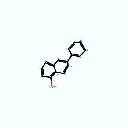 Oc1cccc2cc(-c3ccccc3)ccc12